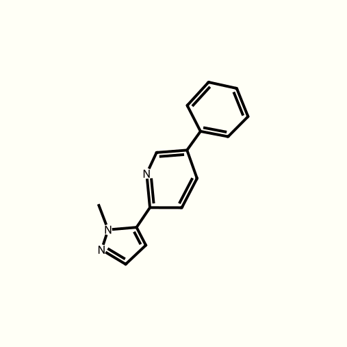 Cn1nccc1-c1ccc(-c2ccccc2)cn1